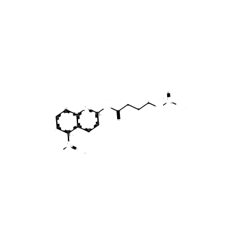 O=C(CCCO[N+](=O)[O-])Oc1ccc2c([N+](=O)[O-])cccc2n1